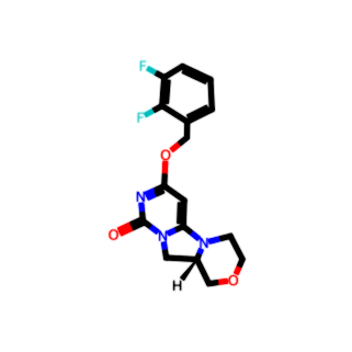 O=c1nc(OCc2cccc(F)c2F)cc2n1C[C@H]1COCCN21